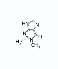 Cc1nc2[nH]cnc2c(=O)n1C